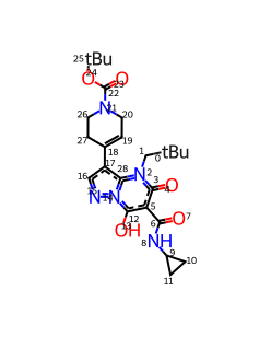 CC(C)(C)Cn1c(=O)c(C(=O)NC2CC2)c(O)n2ncc(C3=CCN(C(=O)OC(C)(C)C)CC3)c12